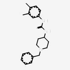 Cc1ccc(NC(=O)NC2CCN(Cc3ccccc3)CC2)cc1C